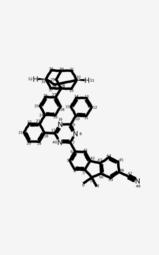 CC1(C)c2ccc(-c3nc(-c4ccccc4)nc(-c4ccccc4-c4ccc(C56CC7C[C@H](C5)C[C@@H](C7)C6)cc4)n3)cc2-c2ccc(C#N)cc21